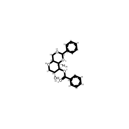 O=C(OC1[C@@H]2OC(c3ccccc3)OCC2OC[C@H]1O)c1ccccc1